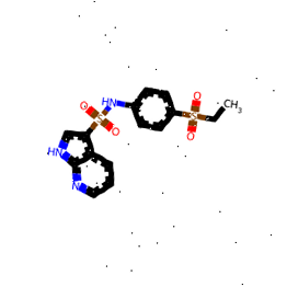 CCS(=O)(=O)c1ccc(NS(=O)(=O)c2c[nH]c3ncccc23)cc1